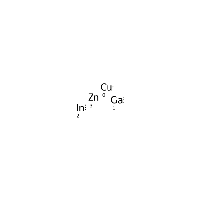 [Cu].[Ga].[In].[Zn]